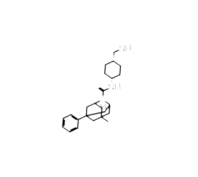 CC12CC3CC(c4ccccc4)(CC(C1)[SH]3C(=S)N[C@H]1CC[C@H](CN)CC1)C2